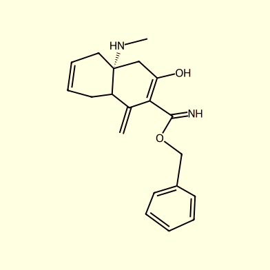 C=C1C(C(=N)OCc2ccccc2)=C(O)C[C@]2(NC)CC=CCC12